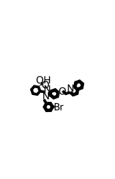 O=C(O)[C@H]1CCCCC1c1nc2cc(OCc3ccc4ccccc4n3)ccc2n1Cc1cccc(Br)c1